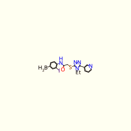 Bc1ccc(NC(=O)CSc2nnc(-c3cccnc3)n2CC)c(I)c1